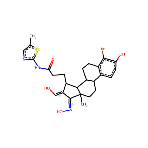 Cc1cnc(NC(=O)CCC2C(=C\O)/C(=N\O)C3(C)CCC4c5ccc(O)c(Br)c5CCC4C23)s1